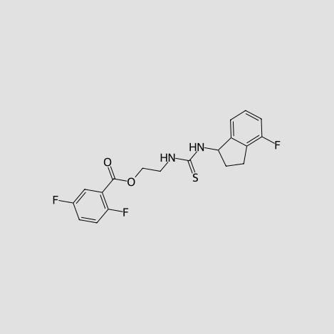 O=C(OCCNC(=S)NC1CCc2c(F)cccc21)c1cc(F)ccc1F